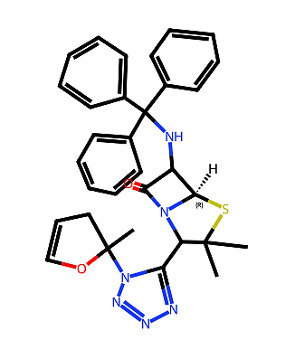 CC1(C)S[C@@H]2C(NC(c3ccccc3)(c3ccccc3)c3ccccc3)C(=O)N2C1c1nnnn1C1(C)CC=CO1